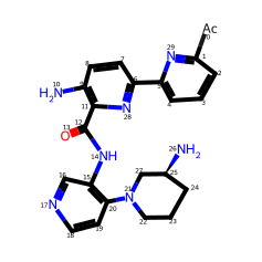 CC(=O)c1cccc(-c2ccc(N)c(C(=O)Nc3cnccc3N3CCC[C@H](N)C3)n2)n1